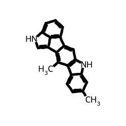 Cc1ccc2c(c1)[nH]c1cc3c(c(C)c12)-c1c[nH]c2cccc-3c12